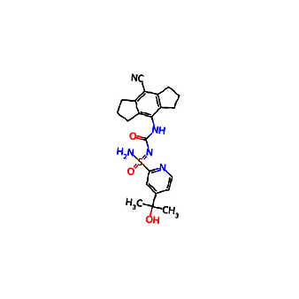 CC(C)(O)c1ccnc(S(N)(=O)=NC(=O)Nc2c3c(c(C#N)c4c2CCC4)CCC3)c1